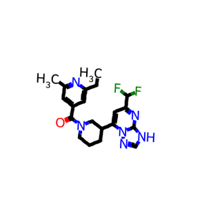 CCc1cc(C(=O)N2CCCC(C3=CC(C(F)F)=NC4NC=NN34)C2)cc(C)n1